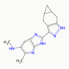 CNc1cc2nc(-c3n[nH]c4c3CC3CC3C4)[nH]c2nc1C